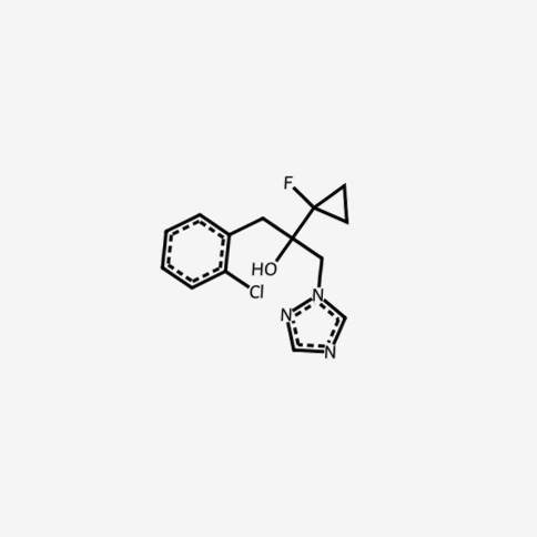 OC(Cc1ccccc1Cl)(Cn1cncn1)C1(F)CC1